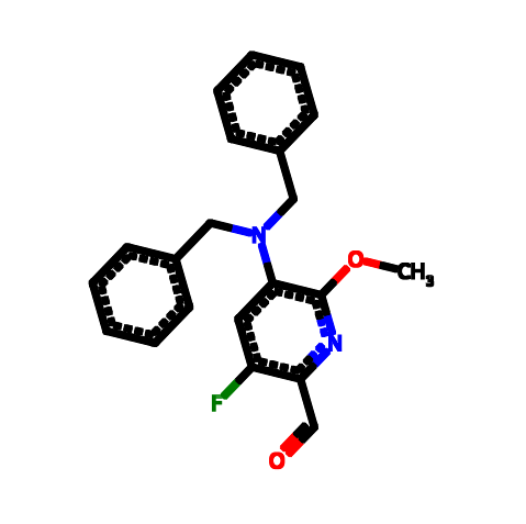 COc1nc(C=O)c(F)cc1N(Cc1ccccc1)Cc1ccccc1